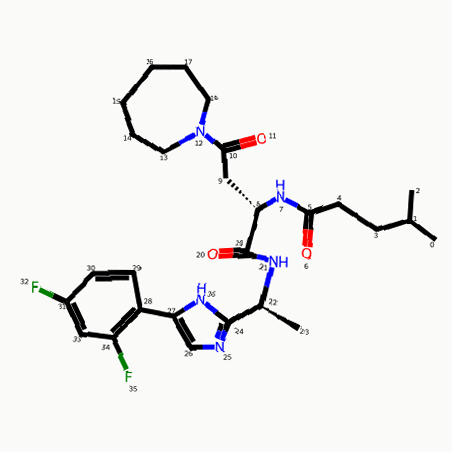 CC(C)CCC(=O)N[C@@H](CC(=O)N1CCCCCC1)C(=O)N[C@@H](C)c1ncc(-c2ccc(F)cc2F)[nH]1